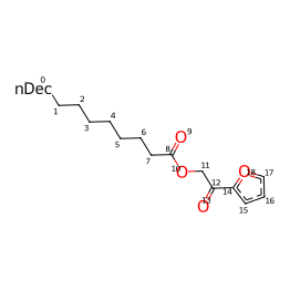 CCCCCCCCCCCCCCCCCC(=O)OCC(=O)c1ccco1